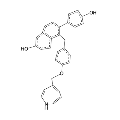 Oc1ccc(-c2ccc3cc(O)ccc3c2Cc2ccc(OCC3=CC=CNC=C3)cc2)cc1